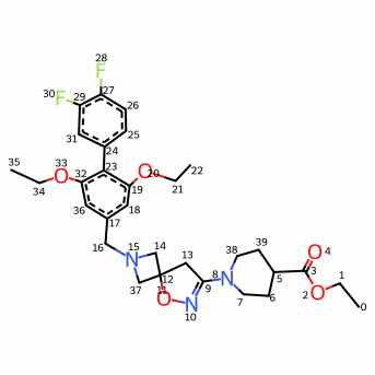 CCOC(=O)C1CCN(C2=NOC3(C2)CN(Cc2cc(OCC)c(-c4ccc(F)c(F)c4)c(OCC)c2)C3)CC1